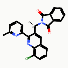 Cc1cccc(-c2nc3c(Cl)cccc3cc2[C@H](C)N2C(=O)c3ccccc3C2=O)n1